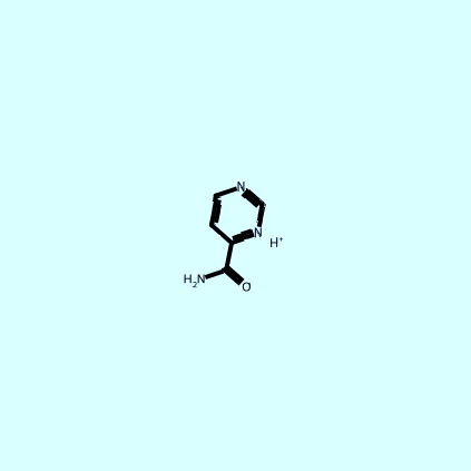 NC(=O)c1ccncn1.[H+]